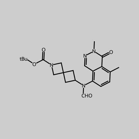 Cc1ccc(N(C=O)C2CC3(C2)CN(C(=O)OC(C)(C)C)C3)c2cnn(C)c(=O)c12